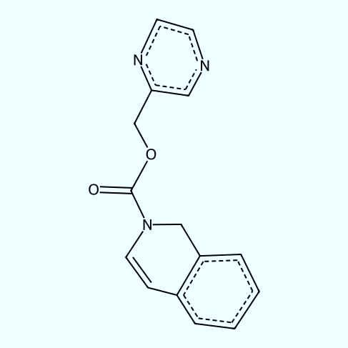 O=C(OCc1cnccn1)N1C=Cc2ccccc2C1